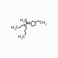 CCCCN(CCC)N(C)N1CCC(CC)C1